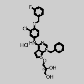 Cl.OC[C@H](O)COS1=C2C(=C(Nc3ccc(OCc4cccc(F)c4)c(Cl)c3)N=CN2Cc2ccccc2)C=C1